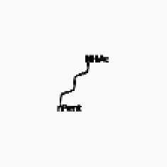 [CH2]CCCCCCCCNC(C)=O